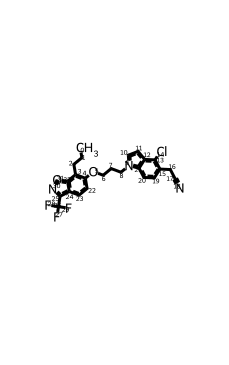 CCCc1c(OCCCn2ccc3c(Cl)c(CC#N)ccc32)ccc2c(C(F)(F)F)noc12